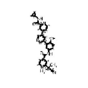 Cc1ccc(NC(=O)c2ccnc(C(C)(C)C#N)c2)cc1-c1cc(-c2ccnc(C(=O)NC3CC3)c2)cnn1